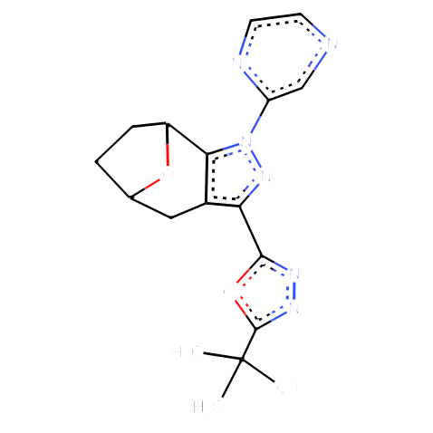 CC(C)(C)c1nnc(-c2nn(-c3cnccn3)c3c2CC2CCC3O2)o1